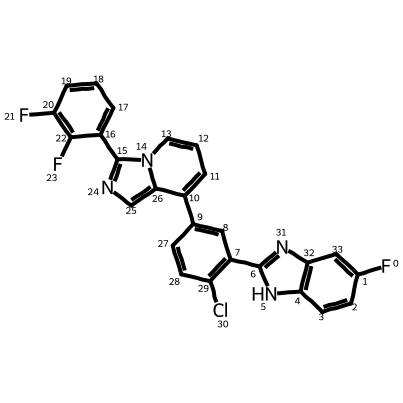 Fc1ccc2[nH]c(-c3cc(-c4cccn5c(-c6cccc(F)c6F)ncc45)ccc3Cl)nc2c1